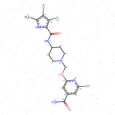 Cc1[nH]c(C(=O)NC2CCN(COc3cc(C(N)=O)cc(Cl)n3)CC2)c(Cl)c1Cl